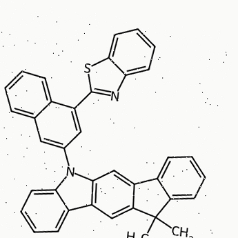 CC1(C)c2ccccc2-c2cc3c(cc21)c1ccccc1n3-c1cc(-c2nc3ccccc3s2)c2ccccc2c1